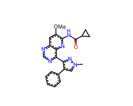 COc1cc2ncnc(-c3nn(C)cc3-c3ccccc3)c2nc1NC(=O)C1CC1